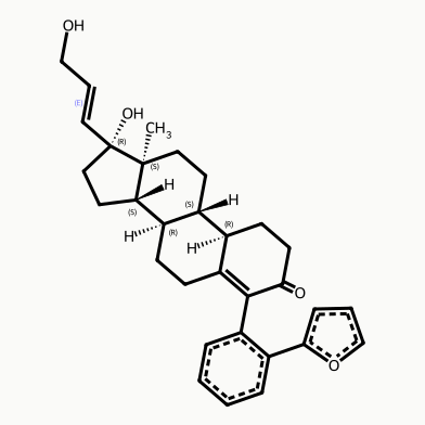 C[C@]12CC[C@H]3[C@@H](CCC4=C(c5ccccc5-c5ccco5)C(=O)CC[C@@H]43)[C@@H]1CC[C@@]2(O)/C=C/CO